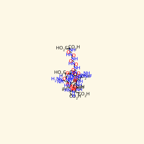 CC(C)C[C@H](NC(=O)[C@H](CCCNC(=N)N)NC(=O)[C@H](CCC(=O)O)NC(=O)[C@H](C)NC(=O)[C@@H](N)CCC(=O)O)C(=O)N[C@@H](CC(C)C)C(=O)N[C@@H](CCC(=O)O)C(=O)N[C@@H](CCC(=O)O)C(=O)N[C@H](C(=O)N[C@@H](CCC(=O)O)C(=O)N[C@@H](CCCNC(=N)N)C(=O)NCC(=O)NCC(=O)NCC(=O)NCC(=O)NCC(=O)NCC(=O)N[C@@H](CC(=O)O)C(=O)O)C(C)C